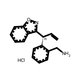 C=C[C@H](c1ccccc1CN)c1noc2ccccc12.Cl